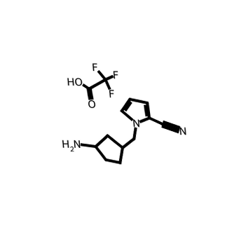 N#Cc1cccn1CC1CCC(N)C1.O=C(O)C(F)(F)F